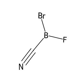 N#CB(F)Br